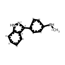 CBc1ccc(-c2n[nH]c3ccccc23)cc1